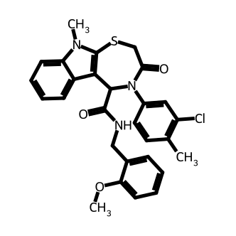 COc1ccccc1CNC(=O)C1c2c(n(C)c3ccccc23)SCC(=O)N1c1ccc(C)c(Cl)c1